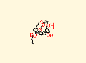 C=CC[C]1CCCCC1.CC(C)C(=O)OCCOc1ccccc1.CCCCC(=O)OCC.COc1cc(CO)ccc1O